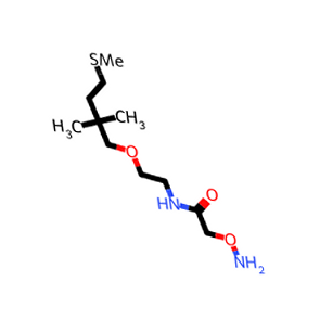 CSCCC(C)(C)COCCNC(=O)CON